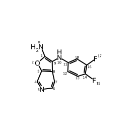 Nc1oc2cnccc2c1Nc1ccc(F)c(F)c1